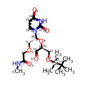 CNC(=O)COC[C@@H](O[C@H](C=O)CO[Si](C)(C)C(C)(C)C)n1ccc(=O)[nH]c1=O